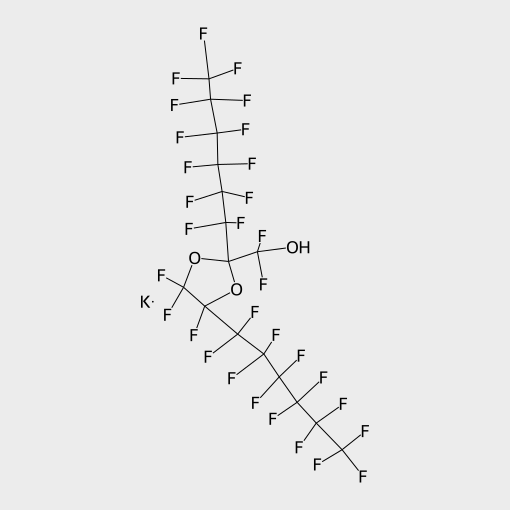 OC(F)(F)C1(C(F)(F)C(F)(F)C(F)(F)C(F)(F)C(F)(F)C(F)(F)F)OC(F)(F)C(F)(C(F)(F)C(F)(F)C(F)(F)C(F)(F)C(F)(F)C(F)(F)F)O1.[K]